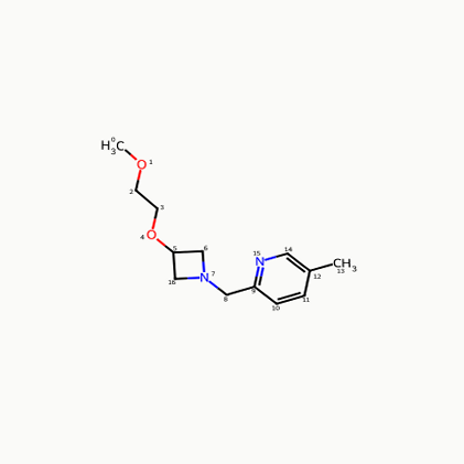 COCCOC1CN(Cc2ccc(C)cn2)C1